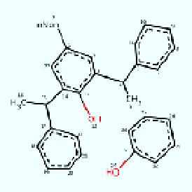 CCCCCCCCCc1cc(C(C)c2ccccc2)c(O)c(C(C)c2ccccc2)c1.Oc1ccccc1